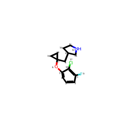 Fc1cccc(OC2(CC3CCNC3)CC2)c1Cl